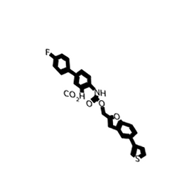 O=C(Nc1ccc(-c2ccc(F)cc2)cc1C(=O)O)OCc1cc2cc(-c3ccsc3)ccc2o1